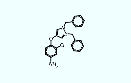 Nc1ccc(OC2=CN(Cc3ccccc3)S(Cc3ccccc3)=C2)c(Cl)c1